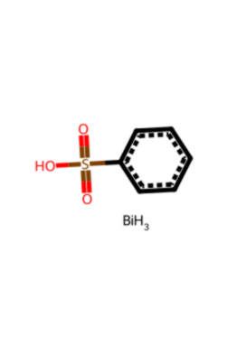 O=S(=O)(O)c1ccccc1.[BiH3]